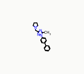 Cc1nc(CN2CCCC2)nn1-c1ccc(-c2ccccc2)cc1